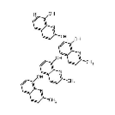 Cc1ccc2cccc(O)c2n1.Cc1ccc2cccc(O)c2n1.Cc1ccc2cccc(O)c2n1.Cc1ccc2cccc(O)c2n1.[Hf]